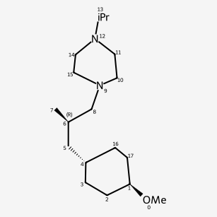 CO[C@H]1CC[C@H](C[C@@H](C)CN2CCN(C(C)C)CC2)CC1